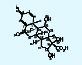 C[C@]12C=CC(=O)C=C1C(=O)C[C@H]1[C@@H]3C[C@@H](O)[C@](O)(C(=O)O)[C@@]3(C)C[C@H](O)[C@@]12F